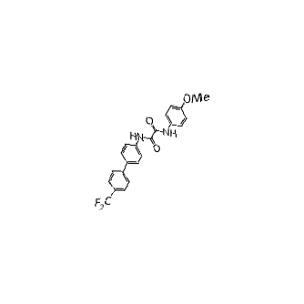 COc1ccc(NC(=O)C(=O)Nc2ccc(-c3ccc(C(F)(F)F)cc3)cc2)cc1